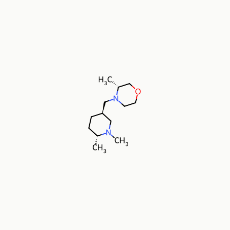 C[C@@H]1CC[C@@H](CN2CCOC[C@H]2C)CN1C